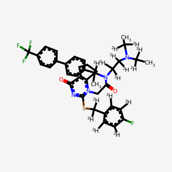 [2H]c1c([2H])c(C([2H])([2H])Sc2nc(=O)c3c(n2CC(=O)N(C([2H])(C)c2ccc(-c4ccc(C(F)(F)F)cc4)cc2)C([2H])([2H])C([2H])([2H])N(C([2H])([2H])C)C([2H])([2H])C)CCC3)c([2H])c([2H])c1F